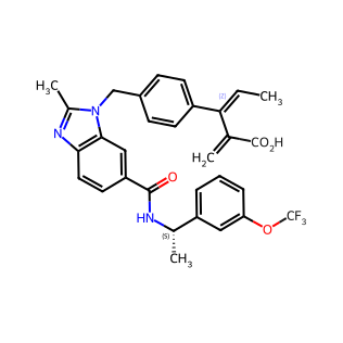 C=C(C(=O)O)/C(=C\C)c1ccc(Cn2c(C)nc3ccc(C(=O)N[C@@H](C)c4cccc(OC(F)(F)F)c4)cc32)cc1